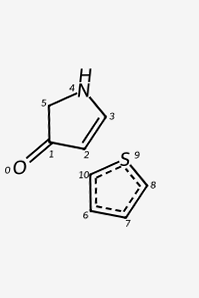 O=C1C=CNC1.c1ccsc1